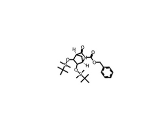 CC(C)(C)[Si](C)(C)OC1C(O[Si](C)(C)C(C)(C)C)[C@H]2C[C@@H]1C(=O)N2C(=O)OCc1ccccc1